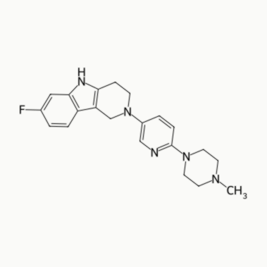 CN1CCN(c2ccc(N3CCc4[nH]c5cc(F)ccc5c4C3)cn2)CC1